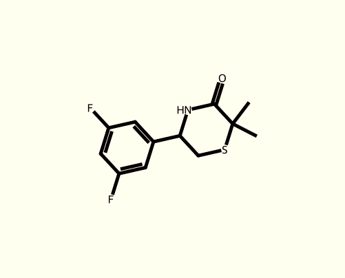 CC1(C)SCC(c2cc(F)cc(F)c2)NC1=O